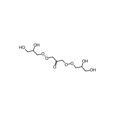 O=C(COOCC(O)CO)COOCC(O)CO